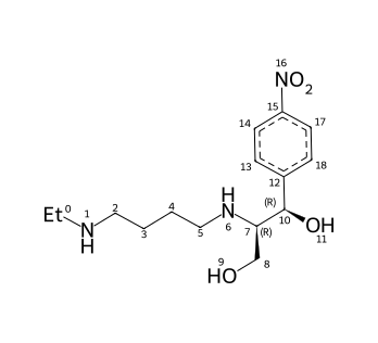 CCNCCCCN[C@H](CO)[C@H](O)c1ccc([N+](=O)[O-])cc1